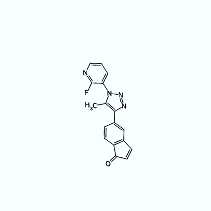 Cc1c(-c2ccc3c(c2)C=CC3=O)nnn1-c1cccnc1F